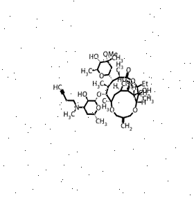 C#CCCN(C)C1C[C@@H](C)O[C@@H](O[C@@H]2[C@@H](C)[C@H](C3C[C@@](C)(OC)[C@@H](O)[C@H](C)O3)[C@@H](C)C(=O)OC(CC)[C@@](C)(O)[C@@H]3OCC(=C)CO[C@]2(C)C[C@@H](C)/C(=N\O)[C@@H]3C)[C@@H]1O